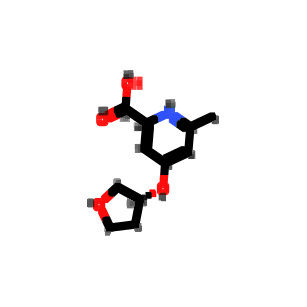 Cc1cc(O[C@@H]2CCOC2)cc(C(=O)O)n1